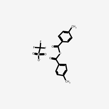 Cc1ccc(C(=O)[I+]C(=O)c2ccc(C)cc2)cc1.O=S(=O)([O-])C(F)(F)F